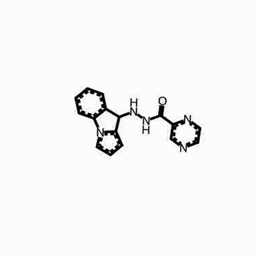 O=C(NNC1c2ccccc2-n2cccc21)c1cnccn1